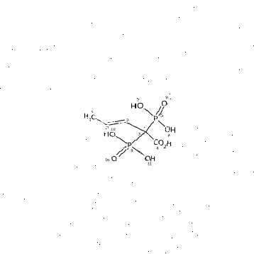 CC=CC(C(=O)O)(P(=O)(O)O)P(=O)(O)O